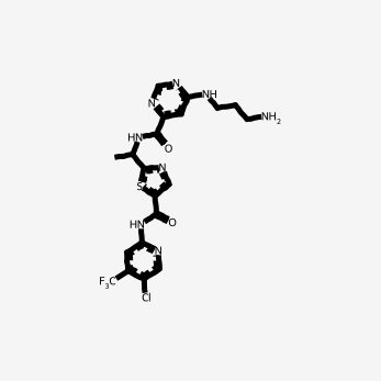 CC(NC(=O)c1cc(NCCCN)ncn1)c1ncc(C(=O)Nc2cc(C(F)(F)F)c(Cl)cn2)s1